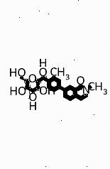 Cc1cc(-c2ccc3ccn(C)c(=O)c3c2)ccc1[C@@H](O)[C@H]1O[C@H](CO)[C@@H](O)[C@H](O)[C@@H]1O